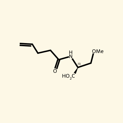 C=CCCC(=O)N[C@@H](COC)C(=O)O